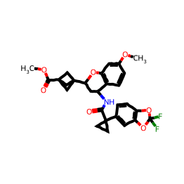 COC(=O)C12CC(C3CC(NC(=O)C4(c5ccc6c(c5)OC(F)(F)O6)CC4)c4ccc(OC)cc4O3)(C1)C2